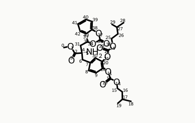 COC(=O)[C@](N)(Cc1ccc(OC(=O)OCCC(C)C)c(OC(=O)OCCC(C)C)c1)CC(C)OC(=O)Oc1ccccc1